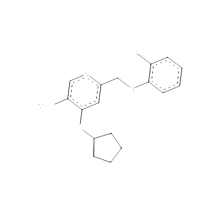 COc1cnc(CNc2ccccc2Cl)cc1OC1CCCC1